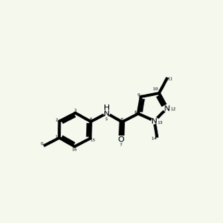 Cc1[c]cc(NC(=O)c2cc(C)nn2C)cc1